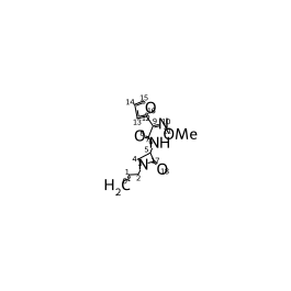 C=CCN1CC(NC(=O)C(=NOC)c2ccco2)C1=O